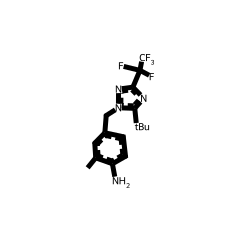 Cc1cc(Cn2nc(C(F)(F)C(F)(F)F)nc2C(C)(C)C)ccc1N